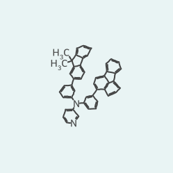 CC1(C)c2ccccc2-c2ccc(-c3cccc(N(c4cccnc4)c4cccc(-c5ccc6c7c(cccc57)-c5ccccc5-6)c4)c3)cc21